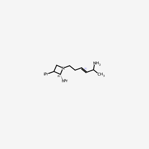 CCC[C@@H]1C(C(C)C)CN1CC/C=C/C(C)N